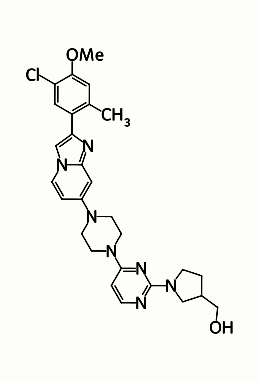 COc1cc(C)c(-c2cn3ccc(N4CCN(c5ccnc(N6CCC(CO)C6)n5)CC4)cc3n2)cc1Cl